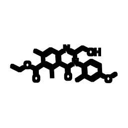 CCOC(=O)c1c(C)cc2nc(CO)n(-c3ccc(OC)cc3C)c(=O)c2c1C